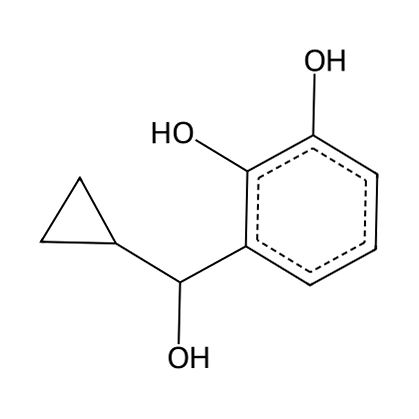 Oc1cccc(C(O)C2CC2)c1O